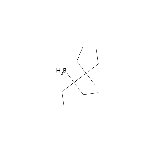 BC(CC)(CC)C(C)(CC)CC